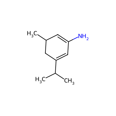 CC1C=C(N)C=C(C(C)C)C1